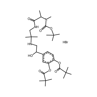 Br.CC(C(=O)NCC(C)(C)NCC(O)c1ccc(OC(=O)C(C)(C)C)c(OC(=O)C(C)(C)C)c1)N(C)C(=O)OC(C)(C)C